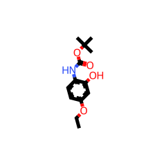 CCOc1ccc(NC(=O)OC(C)(C)C)c(O)c1